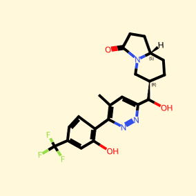 Cc1cc(C(O)[C@@H]2CC[C@H]3CCC(=O)N3C2)nnc1-c1ccc(C(F)(F)F)cc1O